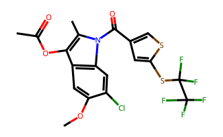 COc1cc2c(OC(C)=O)c(C)n(C(=O)c3csc(SC(F)(F)C(F)(F)F)c3)c2cc1Cl